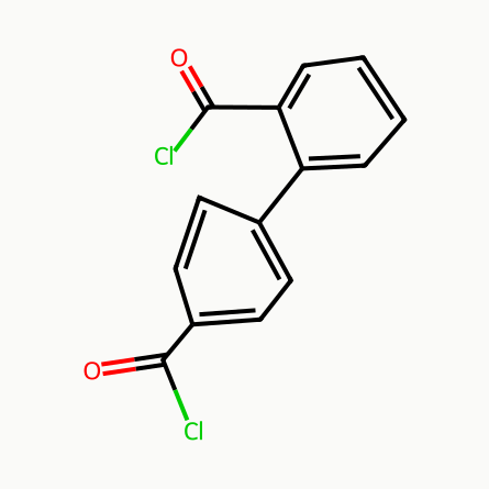 O=C(Cl)c1ccc(-c2ccccc2C(=O)Cl)cc1